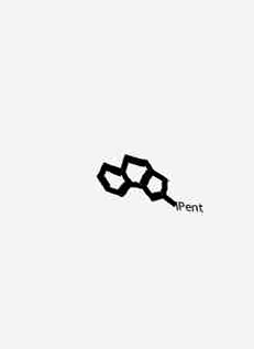 CCCC(C)C1=Cc2c(ccc3ccccc23)[CH]1